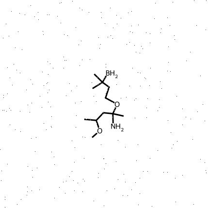 BC(C)(C)CCOC(C)(N)CC(C)OC